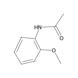 COc1[c]cccc1NC(C)=O